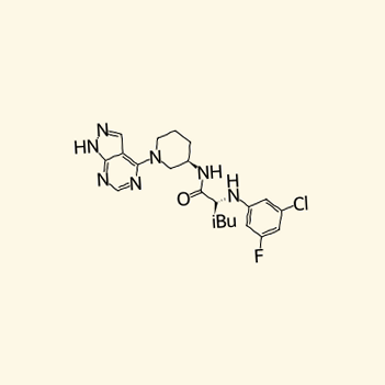 CC[C@H](C)[C@@H](Nc1cc(F)cc(Cl)c1)C(=O)N[C@@H]1CCCN(c2ncnc3[nH]ncc23)C1